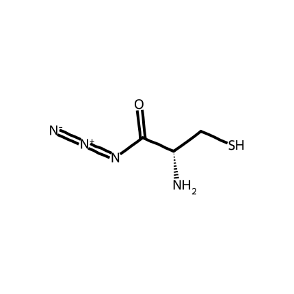 [N-]=[N+]=NC(=O)[C@@H](N)CS